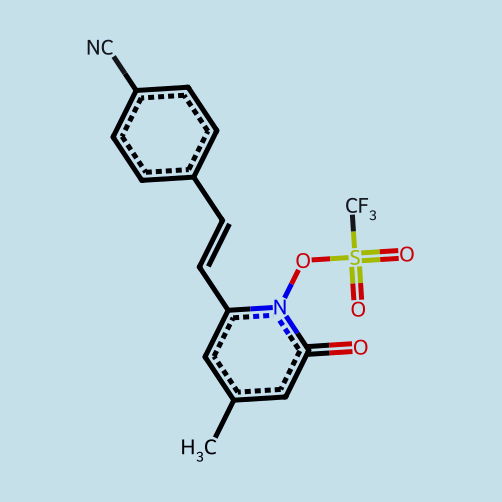 Cc1cc(C=Cc2ccc(C#N)cc2)n(OS(=O)(=O)C(F)(F)F)c(=O)c1